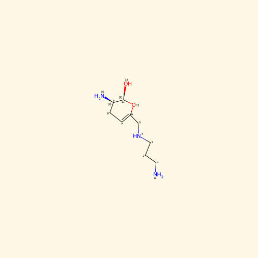 NCCCNCC1=CC[C@@H](N)[C@@H](O)O1